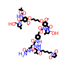 C=C1C[C@@H](CO)N(C(=O)c2cc(OC)c(OCCCCCOc3cc(NC(=O)OC(C)(C)C)c(C(=O)N4CC(=C)C[C@H]4CO)cc3OC)cc2NC(=O)OCc2ccc(NC(=O)[C@H](CCCNC(N)=O)NC(=O)[C@@H](NC(=O)CCCCCN3C(=O)C=CC3=O)C(C)C)cc2)C1